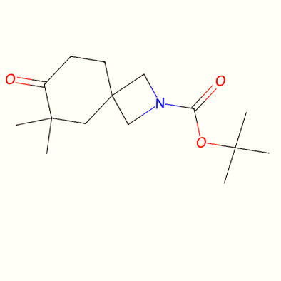 CC(C)(C)OC(=O)N1CC2(CCC(=O)C(C)(C)C2)C1